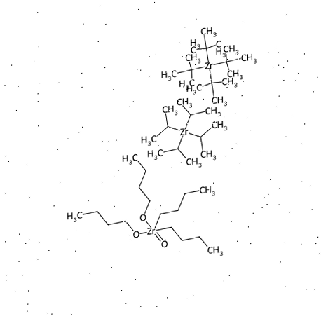 CCCC[O][Zr](=[O])([CH2]CCC)([CH2]CCC)[O]CCCC.C[CH](C)[Zr]([CH](C)C)([CH](C)C)[CH](C)C.C[C](C)(C)[Zr]([C](C)(C)C)([C](C)(C)C)[C](C)(C)C